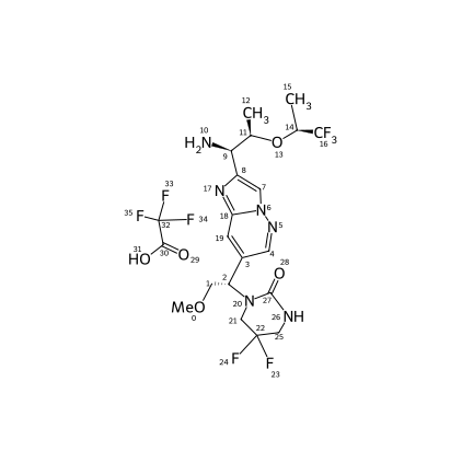 COC[C@H](c1cnn2cc([C@@H](N)[C@@H](C)O[C@@H](C)C(F)(F)F)nc2c1)N1CC(F)(F)CNC1=O.O=C(O)C(F)(F)F